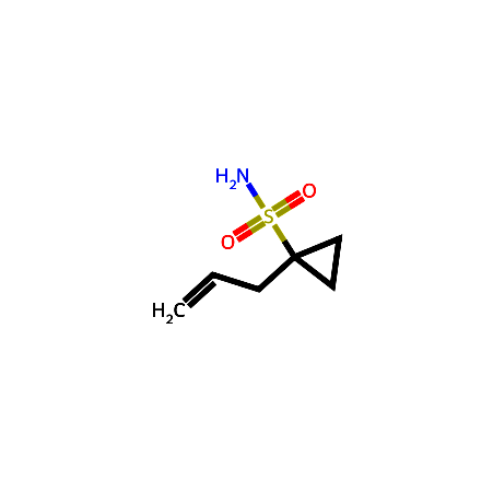 C=CCC1(S(N)(=O)=O)CC1